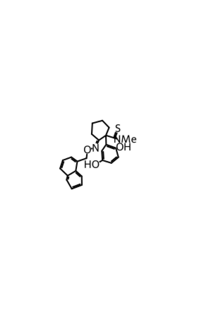 CNC(=S)C1(c2cc(O)ccc2O)CCCCC1=NOCc1cccc2ccccc12